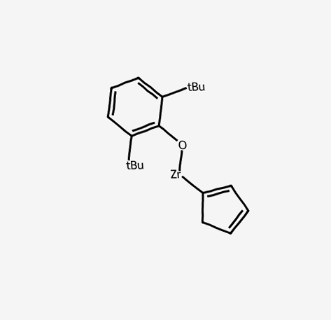 CC(C)(C)c1cccc(C(C)(C)C)c1[O][Zr][C]1=CC=CC1